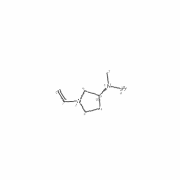 C=CN1CC[C@H](N(C)C(C)C)C1